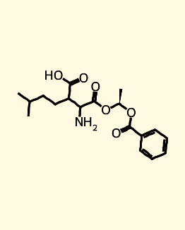 CC(C)CCC(C(=O)O)C(N)C(=O)O[C@@H](C)OC(=O)c1ccccc1